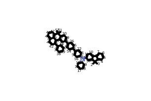 CC1(C)c2ccccc2-c2ccc(N(c3ccccc3)c3ccc(-c4ccc(-c5ccc6c(c5)-c5c(-c7ccccc7)ccc7cccc(c57)C6(C)C)cc4)cc3)cc21